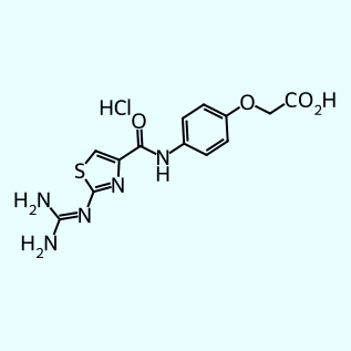 Cl.NC(N)=Nc1nc(C(=O)Nc2ccc(OCC(=O)O)cc2)cs1